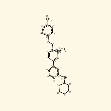 C=C/C=C(\C=C/N(C)CCc1ccc(C)cc1)c1ccnc(NC2CCCCC2)n1